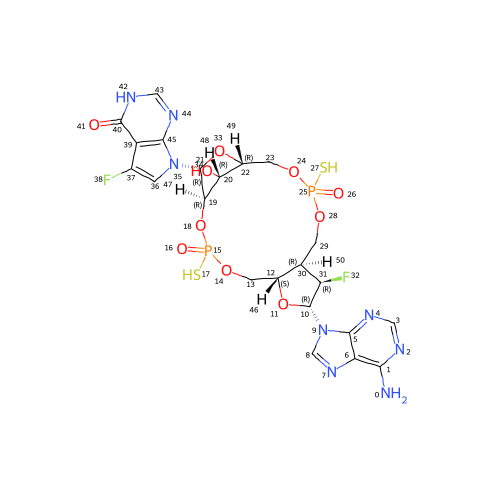 Nc1ncnc2c1ncn2[C@@H]1O[C@@H]2COP(=O)(S)O[C@@H]3[C@H](O)[C@@H](COP(=O)(S)OC[C@H]2[C@H]1F)O[C@H]3n1cc(F)c2c(=O)[nH]cnc21